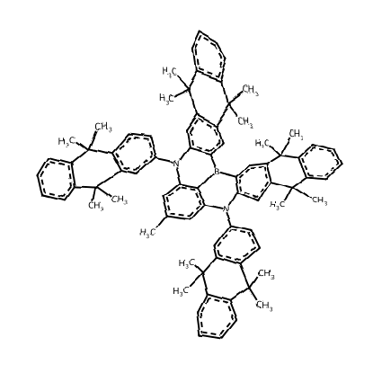 Cc1cc2c3c(c1)N(c1ccc4c(c1)C(C)(C)c1ccccc1C4(C)C)c1cc4c(cc1B3c1cc3c(cc1N2c1ccc2c(c1)C(C)(C)c1ccccc1C2(C)C)C(C)(C)c1ccccc1C3(C)C)C(C)(C)c1ccccc1C4(C)C